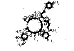 CC[C@H]1OC(=O)[C@H](C)[C@@H](O[C@H]2C[C@@](C)(OC)[C@@H](O)[C@H](C)O2)[C@H](C)[C@@H](O[C@@H]2O[C@H](C)C[C@H](N(C)CCc3cn(C[C@H](C)COc4ccc(C)cc4)nn3)[C@H]2O)[C@](C)(O)C[C@@H](C)CN(C)[C@H](C)[C@@H](O)[C@]1(C)O